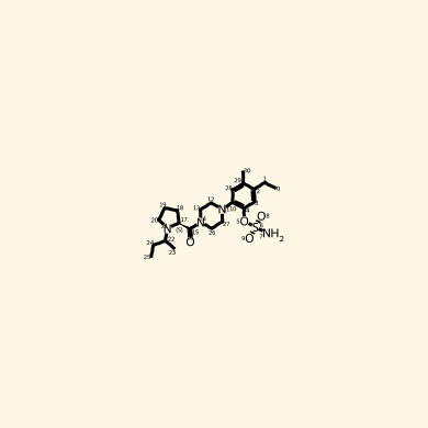 CCc1cc(OS(N)(=O)=O)c(N2CCN(C(=O)[C@@H]3CCCN3C(C)CC)CC2)cc1C